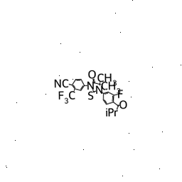 CC(C)C(=O)c1ccc(N2C(=S)N(c3ccc(C#N)c(C(F)(F)F)c3)C(=O)C2(C)C)cc1F